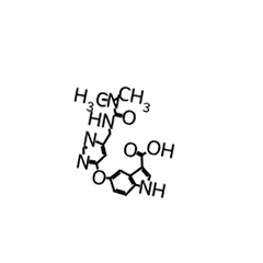 CN(C)C(=O)NCc1cc(Oc2ccc3[nH]cc(C(=O)O)c3c2)ncn1